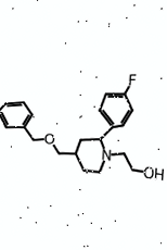 OCCN1CCC(COCc2ccccc2)CC1c1ccc(F)cc1